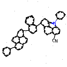 N#Cc1ccc2c3c1ccc1c(-c4ccc(-c5ccc6ccc7c(-c8ccccc8)ccc8ccc5c6c87)c5ccccc45)ccc(c13)n2-c1ccccc1